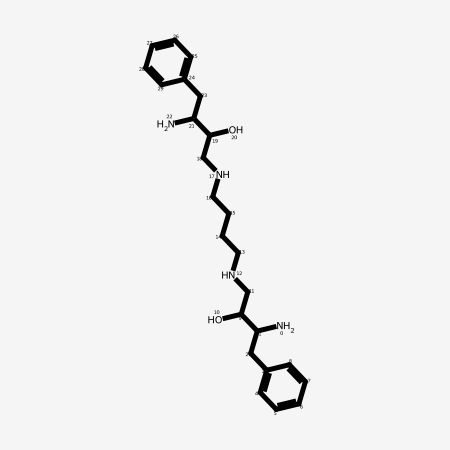 NC(Cc1ccccc1)C(O)CNCCCCNCC(O)C(N)Cc1ccccc1